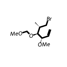 C=C[C@H](OC)[C@@H](OCOC)[C@H](C)CBr